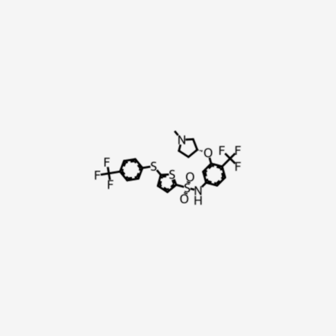 CN1CC[C@@H](Oc2cc(NS(=O)(=O)c3ccc(Sc4ccc(C(F)(F)F)cc4)s3)ccc2C(F)(F)F)C1